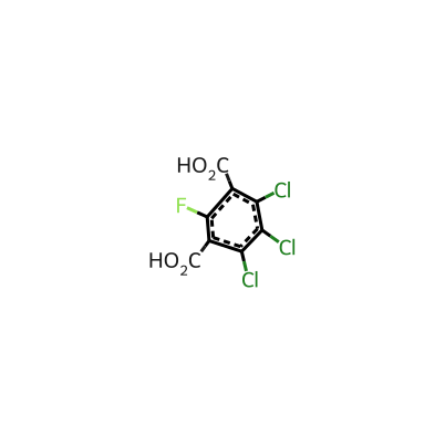 O=C(O)c1c(F)c(C(=O)O)c(Cl)c(Cl)c1Cl